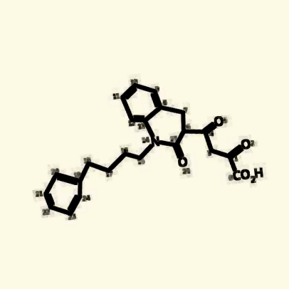 O=C(O)C(=O)CC(=O)C1Cc2ccccc2N(CCCCc2ccccc2)C1=O